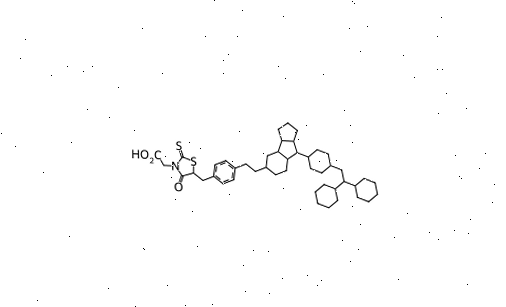 O=C(O)CN1C(=O)C(Cc2ccc(CCC3CCC4C(C3)C3CCCC3C4C3CCC(CC(C4CCCCC4)C4CCCCC4)CC3)cc2)SC1=S